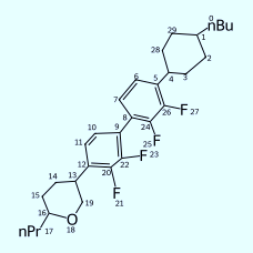 CCCCC1CCC(c2ccc(-c3ccc(C4CCC(CCC)OC4)c(F)c3F)c(F)c2F)CC1